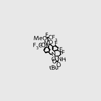 COC(F)(c1nnc(-c2cc3c(cc2F)C(F)(F)C[C@H](NC(=O)OC(C)(C)C)C(=O)N3Cc2ccc(OC(F)(F)F)cc2)o1)C(F)(F)F